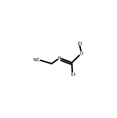 CCOC(CC)=NCC#N